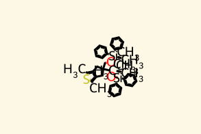 Cc1sc(C)c2c1CC(CO[Si](c1ccccc1)(c1ccccc1)C(C)(C)C)(CO[Si](c1ccccc1)(c1ccccc1)C(C)(C)C)C2